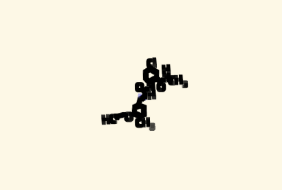 C#CCOc1cc(/C=C/C(=O)Nc2ccc(Cl)cc2C(=O)NC)ccc1C